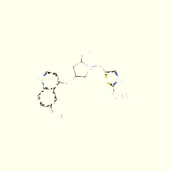 CC(=O)Nc1ncc(CN2CC(Oc3ccnc4ccc(C)cc34)CC2C)s1